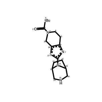 CC(C)(C)C(=O)N1CCc2nc(N3C4CCC3CNC4)sc2C1